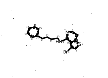 Brc1csc2ccnc(NCCCCc3ccccc3)c12